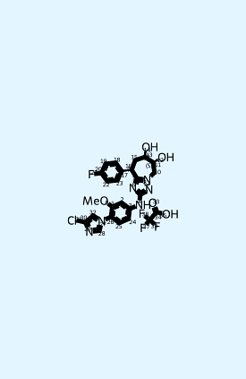 COc1cc(Nc2nc3n(n2)C[C@H](O)[C@H](O)C[C@@H]3c2ccc(F)cc2)ccc1-n1cnc(Cl)c1.O=C(O)C(F)(F)F